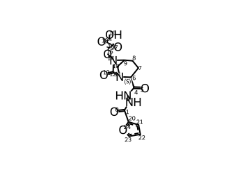 O=C(NNC(=O)[C@@H]1CCC2CN1C(=O)N2OS(=O)(=O)O)c1ccco1